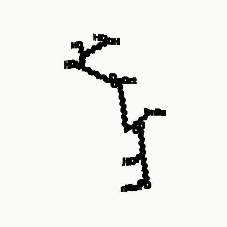 CCCCCCCCCOC(=O)CCCCCCCN(CCO)CCCCCCCC(=O)OC(CCC1CC1CCCC)CCC1CC1CCCCCCCCCCCCC(CCCCCCCC)OC(=O)CCCCCCCN(CCO)CCN(CCO)CCCCCCCC(O)O